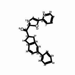 O=C(c1ncc(-c2ccccn2)o1)C1Cc2ccc(-c3ccccc3)cc2C1